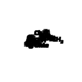 COc1cc2c(cc1OCCCC(=O)N1C[C@@H](CCl)c3c1cc(OC(=O)N1CCN(C)CC1)c1ccccc31)N(C(=O)O)[C@@H](OC1CCCCO1)[C@@H]1CCCCN1C2=O